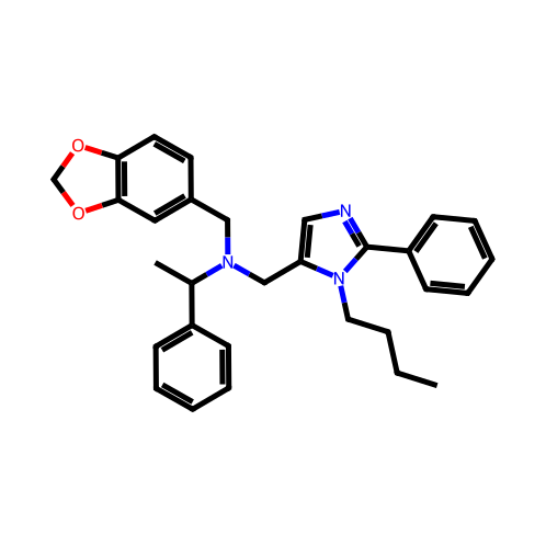 CCCCn1c(CN(Cc2ccc3c(c2)OCO3)C(C)c2ccccc2)cnc1-c1ccccc1